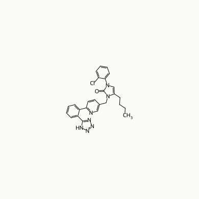 CCCCc1cn(-c2ccccc2Cl)c(=O)n1Cc1ccc(-c2ccccc2-c2nnn[nH]2)nc1